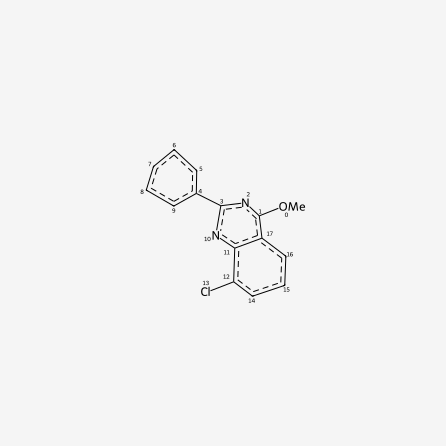 COc1nc(-c2ccccc2)nc2c(Cl)cccc12